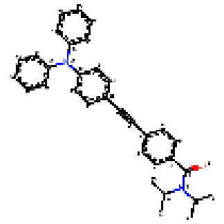 CC(C)N(C(=O)c1ccc(C#Cc2ccc(N(c3ccccc3)c3ccccc3)cc2)cc1)C(C)C